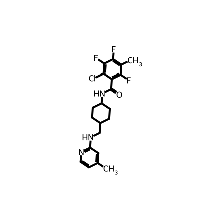 Cc1ccnc(NCC2CCC(NC(=O)c3c(F)c(C)c(F)c(F)c3Cl)CC2)c1